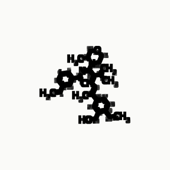 C=Cc1cccc(C(=C)\N=C(/C(=C/C=C(\C)c2ccc(CC)c(CO)c2)C(=C)C)N2CCOC[C@@H]2C)c1